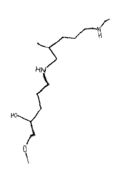 CNCCCC(C)CNCCCC(O)COC